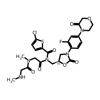 CNCC(=O)N(C)CC(=O)N(C[C@H]1CN(c2ccc(N3CCOCC3=O)cc2F)C(=O)O1)C(=O)c1ccc(Cl)s1